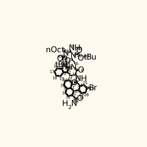 CCCCCCCCN(C(=N)N(CCNC(=O)C(Cc1c[nH]c2ccccc12)NC(=O)c1cc(Br)ccc1-c1c(C(N)=O)ccc2ccccc12)C(=O)OC(C)(C)C)C(=O)OC(C)(C)C